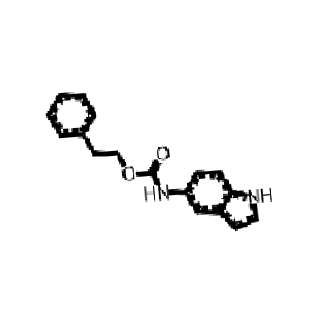 O=C(Nc1ccc2[nH]ccc2c1)OCCc1ccccc1